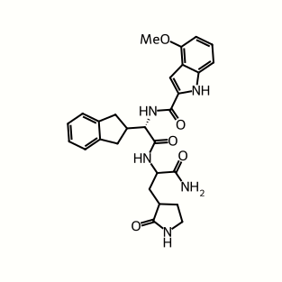 COc1cccc2[nH]c(C(=O)N[C@H](C(=O)NC(CC3CCNC3=O)C(N)=O)C3Cc4ccccc4C3)cc12